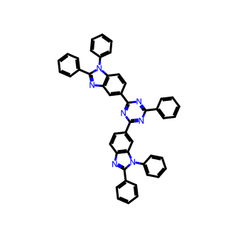 c1ccc(-c2nc(-c3ccc4c(c3)nc(-c3ccccc3)n4-c3ccccc3)nc(-c3ccc4nc(-c5ccccc5)n(-c5ccccc5)c4c3)n2)cc1